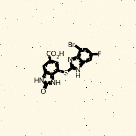 O=C(O)c1cc(Sc2nc3c(Br)cc(F)cc3[nH]2)c2[nH]c(=O)[nH]c2c1